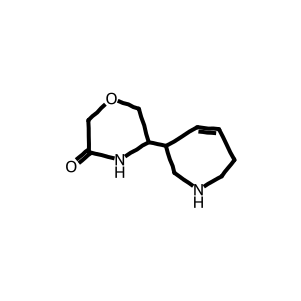 O=C1COCC(C2C=CCCNC2)N1